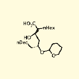 CCCCCCCCCCC[C@H](CC(O)=C(CCCCCC)C(=O)O)OC1CCCCO1